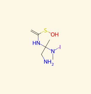 C=C(NC(C)(CN)N(C)I)SO